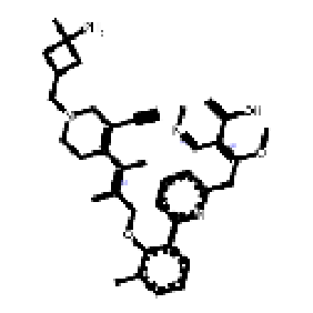 C#CC1=C(/C(C)=C(\C)COc2c(C)cccc2-c2cccc(C/C(OC)=C(\C=N/C)C(=C)O)n2)CCN(CC2CC(C)(P)C2)C1